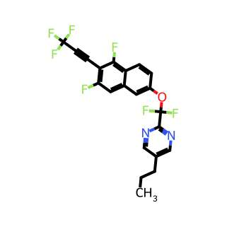 CCCc1cnc(C(F)(F)Oc2ccc3c(F)c(C#CC(F)(F)F)c(F)cc3c2)nc1